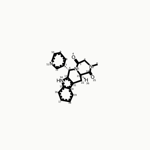 CN1CC(=O)N2[C@@H](c3cccnc3)c3[nH]c4ccccc4c3C[C@@H]2C1=O